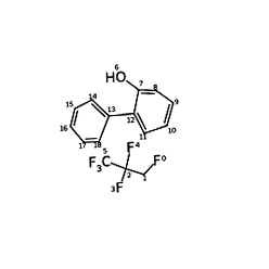 FCC(F)(F)C(F)(F)F.Oc1ccccc1-c1ccccc1